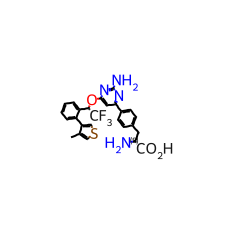 Cc1cscc1-c1ccccc1C(Oc1cc(-c2ccc(C[C@H](N)C(=O)O)cc2)nc(N)n1)C(F)(F)F